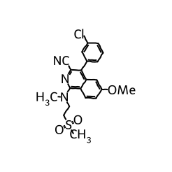 COc1ccc2c(N(C)CCS(C)(=O)=O)nc(C#N)c(-c3cccc(Cl)c3)c2c1